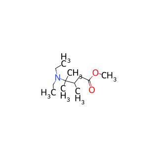 CCN(CC)C(C)(C)C(C)CC(=O)OC